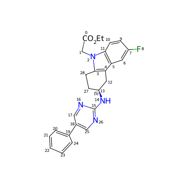 CCOC(=O)Cn1c2c(c3cc(F)ccc31)C[C@@H](Nc1ncc(-c3ccccc3)cn1)CC2